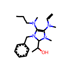 C=CN(C)C1=C(N(C)CCC)N(Cc2ccccc2)C(C(C)O)N1C